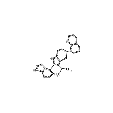 CC(C)c1c(-c2ccnc3[nH]ncc23)[nH]c2ccc(-c3cccc4cccnc34)cc12